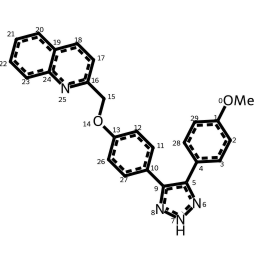 COc1ccc(-c2n[nH]nc2-c2ccc(OCc3ccc4ccccc4n3)cc2)cc1